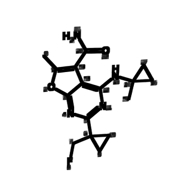 Cc1oc2nc(C3(CF)CC3)nc(NC3(C)CC3)c2c1C(N)=O